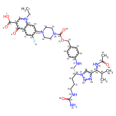 CCn1cc(C(=O)O)c(=O)c2cc(F)c(N3CCN(C(=O)OCc4ccc(NC[C@@H](CCCNC(N)=O)n5cc([C@@H](NC(C)=O)C(C)C)nn5)cc4)CC3)cc21